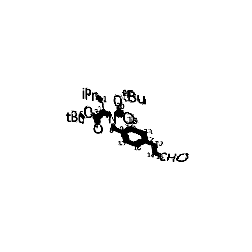 CC(C)C[C@@H](C(=O)OC(C)(C)C)N(Cc1ccc(CCC=O)cc1)C(=O)OC(C)(C)C